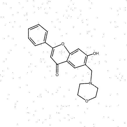 O=c1cc(-c2ccccc2)oc2cc(O)c(CN3CCOCC3)cc12